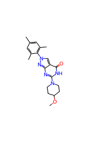 COC1CCN(c2nc3nn(-c4c(C)cc(C)cc4C)cc3c(=O)[nH]2)CC1